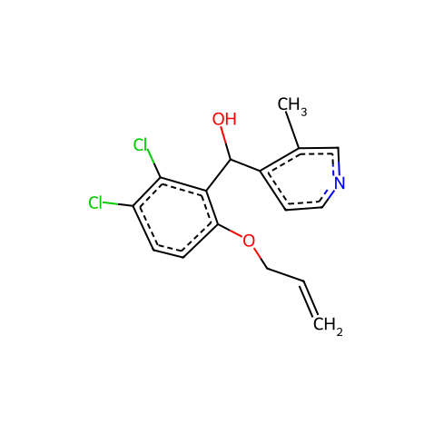 C=CCOc1ccc(Cl)c(Cl)c1C(O)c1ccncc1C